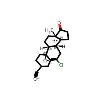 C#CC1CC[C@@]2(C)C(=C(Cl)C[C@@H]3[C@H]2CC[C@]2(C)C(=O)CC[C@@H]32)C1